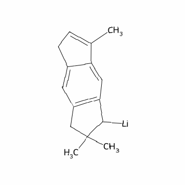 [Li][CH]1c2cc3c(cc2CC1(C)C)CC=C3C